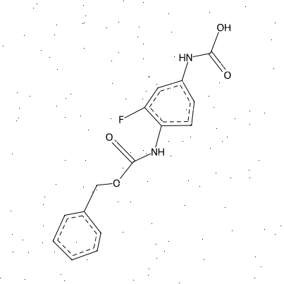 O=C(O)Nc1ccc(NC(=O)OCc2ccccc2)c(F)c1